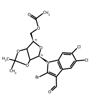 CC(=O)OC[C@H]1O[C@@H](n2c(Br)c(C=O)c3cc(Cl)c(Cl)cc32)C2OC(C)(C)OC21